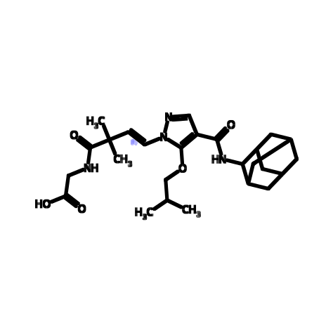 CC(C)COc1c(C(=O)NC2C3CC4CC(C3)CC2C4)cnn1/C=C/C(C)(C)C(=O)NCC(=O)O